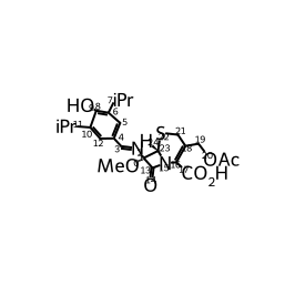 CO[C@@]1(N=Cc2cc(C(C)C)c(O)c(C(C)C)c2)C(=O)N2C(C(=O)O)=C(COC(C)=O)CS[C@H]21